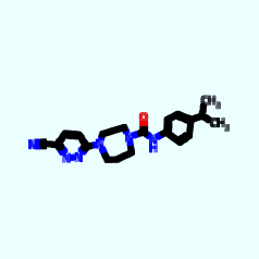 CC(C)c1ccc(NC(=O)N2CCCN(c3ccc(C#N)nn3)CC2)cc1